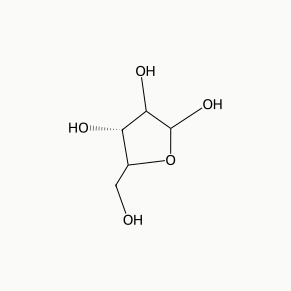 OCC1OC(O)C(O)[C@H]1O